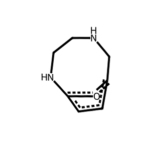 c1cc2oc1CNCCN2